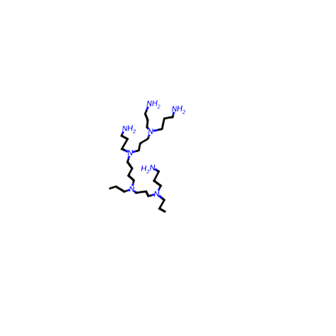 CCCN(CCCN)CCCN(CCC)CCCCN(CCCN)CCCN(CCCN)CCCN